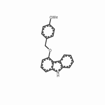 COc1ccc(COc2cccc3[nH]c4ccccc4c23)cc1